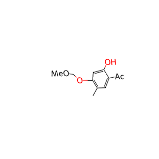 COCOc1cc(O)c(C(C)=O)cc1C